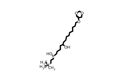 C[N+](C)(C)CCCP(O)CCCCC(O)CCCCCCCCCOC1=COCOC1